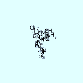 Cc1nc2c(-c3ccc(Cl)cc3F)nc(N3CCOC(c4cnn(C5CC5)c4)C3)nc2c(=O)n1C